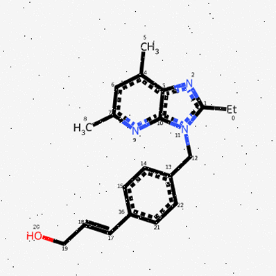 CCc1nc2c(C)cc(C)nc2n1Cc1ccc(C=CCO)cc1